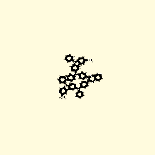 Cc1ccc2c(c1)c1cc(N(c3ccccc3)c3ccc(-c4nc5ccccc5nc4-c4ccc(N(c5ccccc5)c5ccc6c(c5)c5cc(C)ccc5n6-c5ccccc5)cc4)cc3)ccc1n2-c1ccccc1